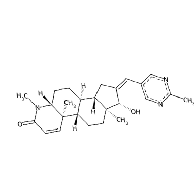 Cc1ncc(/C=C2/C[C@H]3[C@@H]4CC[C@H]5N(C)C(=O)C=C[C@]5(C)[C@H]4CC[C@]3(C)[C@H]2O)cn1